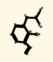 C=Cc1cccc(OC(F)F)c1Cl